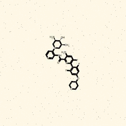 C[C@H]1CN(c2ccncc2NC(=O)c2nc(-c3c(F)cc(OC4CCOCC4)cc3F)c(F)cc2N)C[C@@H](N)[C@@H]1O